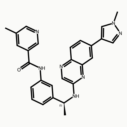 Cc1cncc(C(=O)Nc2cccc([C@H](C)Nc3cnc4ccc(-c5cnn(C)c5)cc4n3)c2)c1